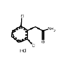 Cl.NC(=O)Cc1c(Cl)cccc1Cl